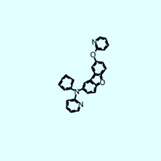 c1ccc(N(c2ccc3oc4ccc(Oc5ccccn5)cc4c3c2)c2ccccn2)cc1